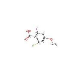 COc1cc(F)c(C(=O)O)c(I)c1